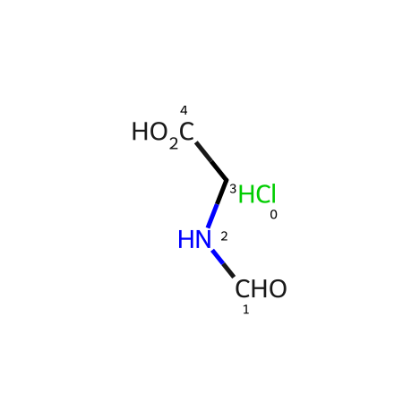 Cl.O=CNCC(=O)O